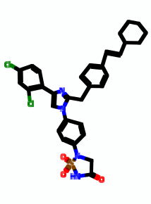 O=C1CN(c2ccc(-n3cc(-c4ccc(Cl)cc4Cl)nc3Cc3ccc(/C=C/C4CCCCC4)cc3)cc2)S(=O)(=O)N1